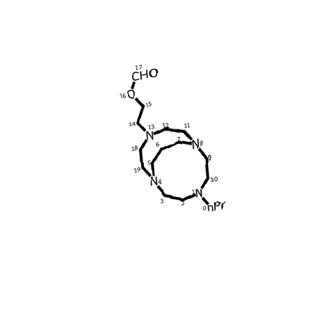 CCCN1CCN2CCCN(CC1)CCN(CCOC=O)CC2